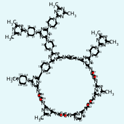 Cc1nc(C)nc(N2CCN(c3nc(N4CCN(c5nc(C)nc(C)n5)CC4)nc(N4CCN(c5nc6nc(n5)N5CCN(CC5)c5nc(N7CCN(c8nc(C)nc(C)n8)CC7)nc(n5)N5CCN(CC5)c5nc(C)nc(n5)N5CCN(CC5)c5ncnc(n5)N5CCN(CC5)c5nc(C)nc(n5)N5CCN(CC5)c5nc(N7CCN(C)CC7)nc(n5)N5CCN6CC5)CC4)n3)CC2)n1